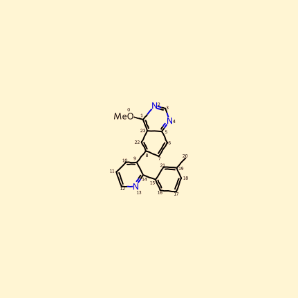 COc1ncnc2ccc(-c3cccnc3-c3cccc(C)c3)cc12